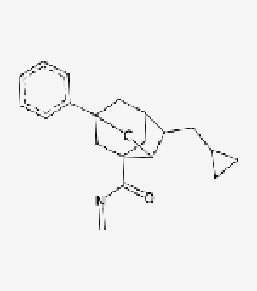 C=NC(=O)C12CC3CC(c4ccccc4)(CC1C3CC1CC1)C2